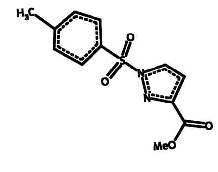 COC(=O)c1ccn(S(=O)(=O)c2ccc(C)cc2)n1